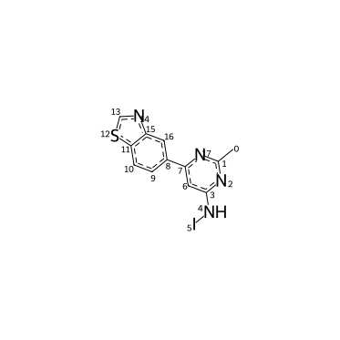 Cc1nc(NI)cc(-c2ccc3scnc3c2)n1